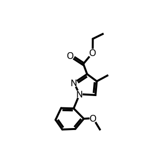 CCOC(=O)c1nn(-c2ccccc2OC)cc1C